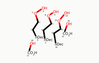 CCCCCCCCCCCCOO.CCCCCCCCCCCCOO.CCCCCCCCCCCCOO.O=C(O)O.O=C(O)O